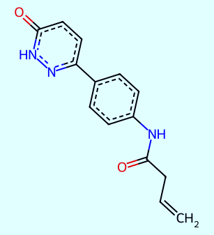 C=CCC(=O)Nc1ccc(-c2ccc(=O)[nH]n2)cc1